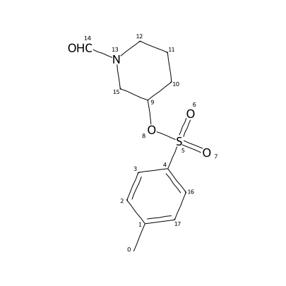 Cc1ccc(S(=O)(=O)OC2CCCN(C=O)C2)cc1